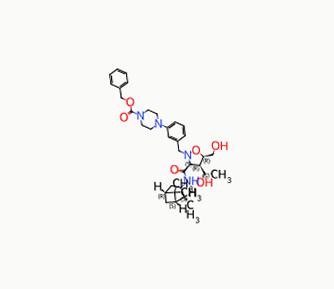 C[C@H](O)[C@@H]1[C@H](CO)ON(Cc2cccc(N3CCN(C(=O)OCc4ccccc4)CC3)c2)[C@@H]1C(=O)NC1C[C@H]2C[C@@H]([C@@H]1C)C2(C)C